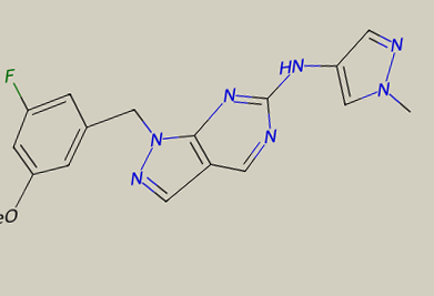 COc1cc(F)cc(Cn2ncc3cnc(Nc4cnn(C)c4)nc32)c1